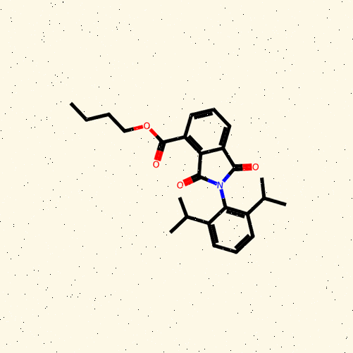 CCCCOC(=O)c1cccc2c1C(=O)N(c1c(C(C)C)cccc1C(C)C)C2=O